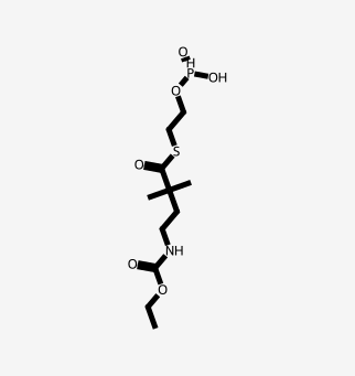 CCOC(=O)NCCC(C)(C)C(=O)SCCO[PH](=O)O